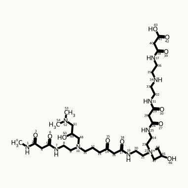 CNC(=O)CC(=O)NCCN(CCCC(=O)CC(=O)NCC[N+]1(CCNC(=O)CC(=O)NCCNCCNC(=O)CC(=O)O)CC(O)C1)CC(O)CN(C)C